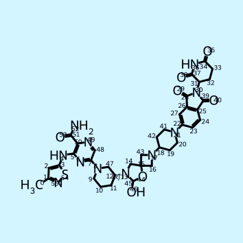 Cc1cc(Nc2nc(N3CCC[C@@H](N4CC5(CN(C6CCN(c7ccc8c(c7)C(=O)N(C7CCC(=O)NC7=O)C8=O)CC6)C5)OC4O)C3)cnc2C(N)=O)sn1